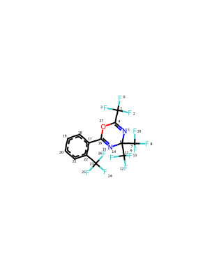 FC(F)(F)C1=NC(C(F)(F)F)(C(F)(F)F)N=C(c2ccccc2C(F)(F)F)O1